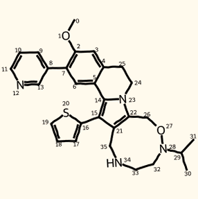 COc1cc2c(cc1-c1cccnc1)-c1c(-c3cccs3)c3c(n1CC2)CON(C(C)C)CCNC3